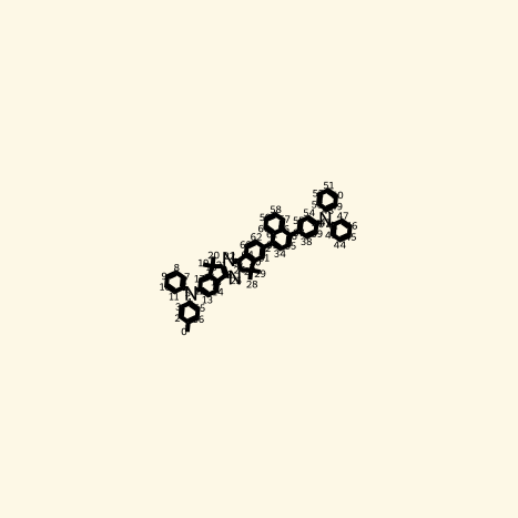 Cc1ccc(N(c2ccccc2)c2ccc3c(c2)C(C)(C)c2nc4c(nc2-3)C(C)(C)c2cc(-c3ccc(-c5ccc(N(c6ccccc6)c6ccccc6)cc5)c5ccccc35)ccc2-4)cc1